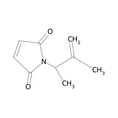 C=C(C)C(C)N1C(=O)C=CC1=O